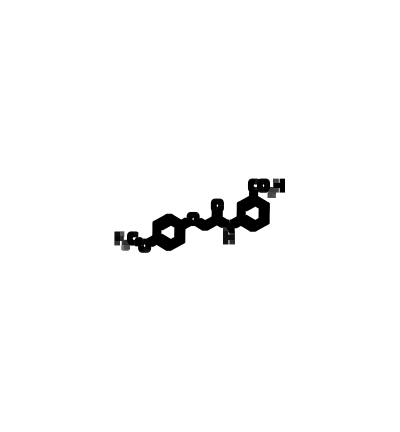 O=C(COc1ccc(OC(F)(F)F)cc1)Nc1cccc(C(=O)O)c1